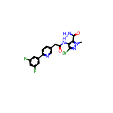 Cn1nc(Br)c(NC(=O)Cc2ccc(-c3cc(F)cc(F)c3)nc2)c1C(N)=O